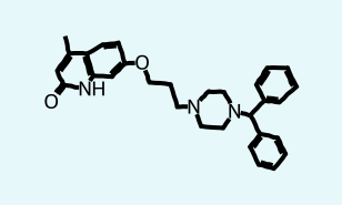 Cc1cc(=O)[nH]c2cc(OCCCN3CCN(C(c4ccccc4)c4ccccc4)CC3)ccc12